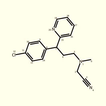 CN(CC#N)CCC(c1ccc(Cl)cc1)c1ccccn1